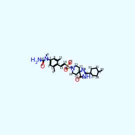 Cc1cc(N(C)C(N)=O)cc(C)c1C=CS(=O)(=O)N1CCC2(CC1)N=C(C1CCC(C)CC1)NC2=O